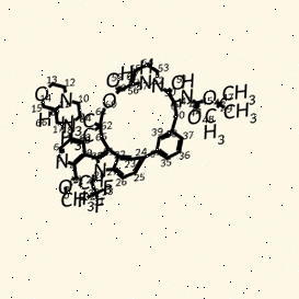 CO[C@@H](C)c1ncc(N2CCN3CCOC[C@@H]3C2)cc1-c1c2c3cc(ccc3n1CC(F)(F)F)-c1cccc(c1)C[C@H](NC(=O)OC(C)(C)C)C(=O)N1CCC[C@H](N1)C(=O)OCC(C)(C)C2